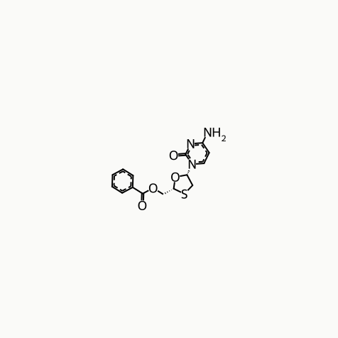 Nc1ccn([C@@H]2CS[C@H](COC(=O)c3ccccc3)O2)c(=O)n1